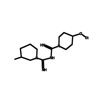 CCOC1CCN(C(=N)NC(=N)N2CCCC(C)C2)CC1